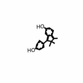 CC1=c2ccc(O)cc2=C(c2ccc(O)cc2)C1(C)C